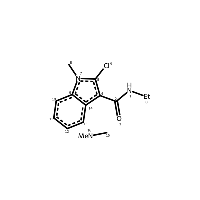 CCNC(=O)c1c(Cl)n(C)c2ccccc12.CNC